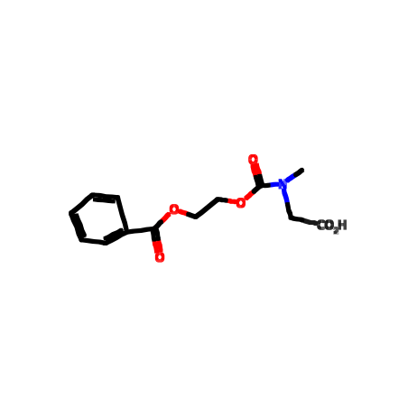 CN(CC(=O)O)C(=O)OCCOC(=O)c1ccccc1